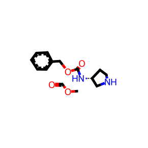 COC=O.O=C(N[C@@H]1CCNC1)OCc1ccccc1